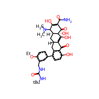 CCOc1ccc(-c2ccc(O)c3c2C[C@@H]2C[C@H]4C(N(C)C)C(O)=C(C(N)=O)C(=O)[C@@]4(O)C(O)=C2C3=O)cc1CNC(=O)NC(C)(C)C